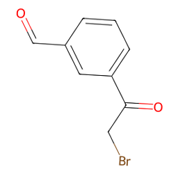 O=Cc1cccc(C(=O)CBr)c1